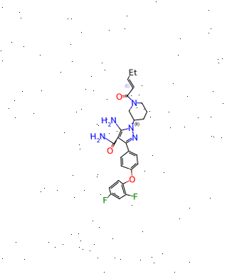 CC/C=C/C(=O)N1CCC[C@@H](n2nc(-c3ccc(Oc4ccc(F)cc4F)cc3)c(C(N)=O)c2N)C1